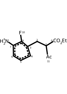 CCOC(=O)C(Cc1cccc(N)c1F)C(C)=O